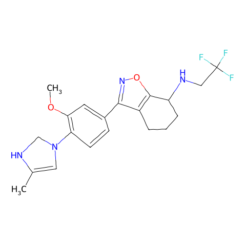 COc1cc(-c2noc3c2CCCC3NCC(F)(F)F)ccc1N1C=C(C)NC1